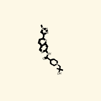 Cn1cc(-c2ccc3cnc(NC(=O)C4CCN(CC(C)(C)O)CC4)cc3n2)nn1